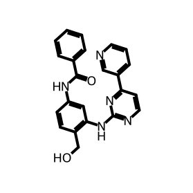 O=C(Nc1ccc(CO)c(Nc2nccc(-c3cccnc3)n2)c1)c1ccccc1